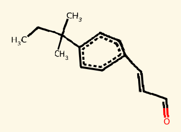 CCC(C)(C)c1ccc(/C=C/C=O)cc1